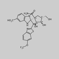 CN1c2ccc(C(=O)O)cc2NC1(Nc1nc2ccc(OC(F)(F)F)cc2s1)[C@]1(C(N)=O)C[C@H](CO)[C@@H](O)[C@H]1O